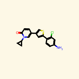 Nc1ccc(-c2cc(-c3ccc(=O)n(C4CC4)c3)cs2)c(Cl)c1